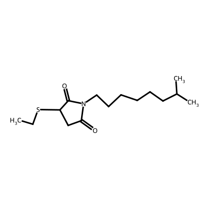 CCSC1CC(=O)N(CCCCCCC(C)C)C1=O